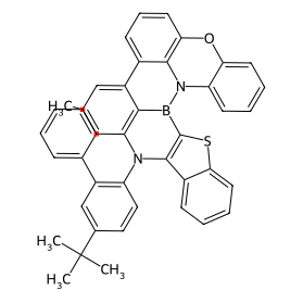 Cc1cc2c3c(c1)N(c1ccc(C(C)(C)C)cc1-c1ccccc1)c1c(sc4ccccc14)B3N1c3ccccc3Oc3cccc-2c31